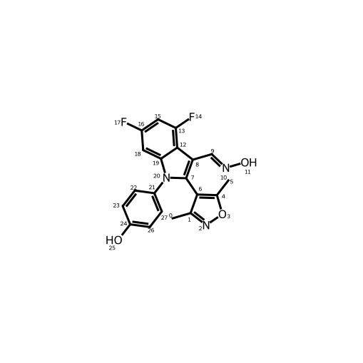 Cc1noc(C)c1-c1c(C=NO)c2c(F)cc(F)cc2n1-c1ccc(O)cc1